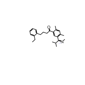 CCc1ccccc1CCCC(=O)c1cc(/C(=N\C)C(C)C)c(C)cc1C